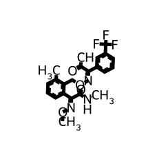 CNC(=O)/C(=N/OC)c1cccc(C)c1CO/N=C(\C(C)=O)c1cccc(C(F)(F)F)c1